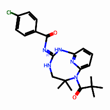 CC(C)(C)C(=O)N1c2cccc(n2)N/C(=N\C(=O)c2ccc(Cl)cc2)NCC1(C)C